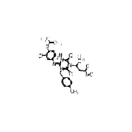 Cc1ccc(Cn2c(=O)n([C@@H](C)CC(=O)N=O)c(=O)n(N)/c2=N\c2ccc(OC(C)C)c(Cl)c2)cc1